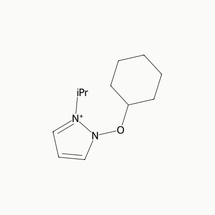 CC(C)[n+]1cccn1OC1CCCCC1